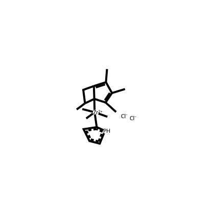 CC1=C(C)[C]2([Zr+2]([CH3])([CH3])([CH3])[c]3ccc[pH]3)C(=C1C)CC2C.[Cl-].[Cl-]